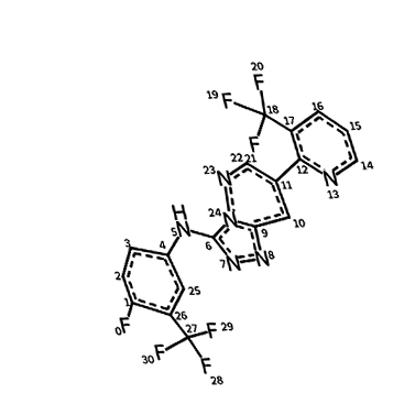 Fc1ccc(Nc2nnc3cc(-c4ncccc4C(F)(F)F)cnn23)cc1C(F)(F)F